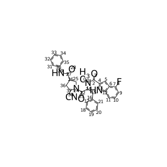 CN(C(=O)c1cc2c(F)cccc2[nH]1)C(Cc1ccccc1)C(=O)N1CC(C(=O)Nc2ccccc2)CC1C#N